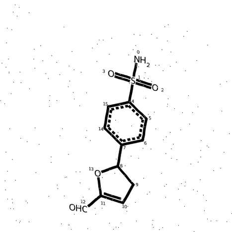 NS(=O)(=O)c1ccc(C2CC=C(C=O)O2)cc1